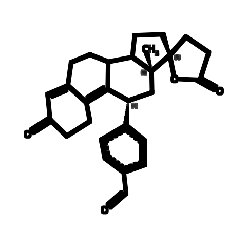 C[C@]12C[C@H](c3ccc(C=O)cc3)C3=C4CCC(=O)C=C4CCC3C1CC[C@]21CCC(=O)O1